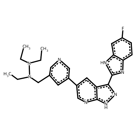 CCN(CC)N(CC)Cc1cncc(-c2cnc3[nH]nc(-c4nc5ccc(F)cc5[nH]4)c3c2)c1